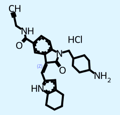 C#CCNC(=O)c1ccc2c(c1)/C(=C/c1cc3c([nH]1)CCCC3)C(=O)N2CC1CCC(N)CC1.Cl